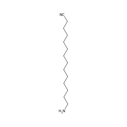 N#CCCCCCCCCCCCCCN